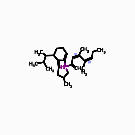 C=C(/C=C(C)\C(C)=C/CC)[PH]12CC(C)CC1=C1C2=CCCC1C(C)C(C)C